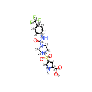 COC(=O)c1cc(S(=O)(=O)N2CCN(C(=O)Nc3ccc(C(F)(F)F)cc3)CC2)cn1C